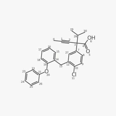 CC#CC(C(=O)O)(c1ccc(Cl)c(Cc2ccccc2Oc2ccccc2)c1)C(C)C